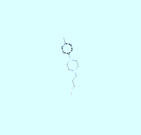 Cc1ccc(N2CCN(CCCOI)CC2)cc1